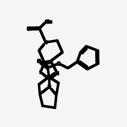 CC(C)(C)C(=O)N1CCc2nc(N3C4CCC3CN(C(=O)OCc3ccccc3)C4)sc2C1